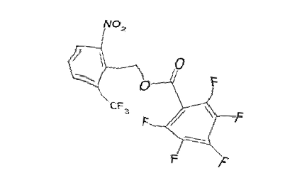 O=C(OCc1c([N+](=O)[O-])cccc1C(F)(F)F)c1c(F)c(F)c(F)c(F)c1F